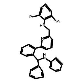 CC(C)c1cccc(C(C)C)c1NCc1cccc(-c2ccccc2C(Nc2ccccc2)c2ccccc2)n1